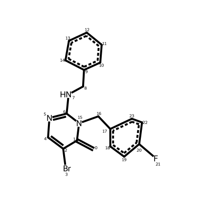 C=C1C(Br)=CN=C(NCc2ccccc2)N1Cc1ccc(F)cc1